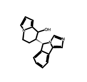 OC1c2cccn2CCC1[C@H]1c2ccccc2-c2cncn21